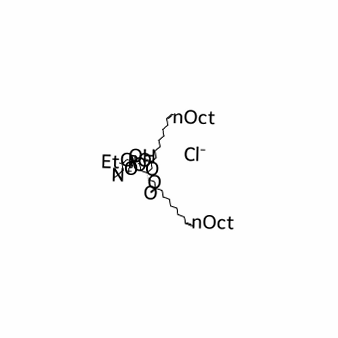 CCCCCCCC/C=C\CCCCCCCC(=O)OC[C@H](COP(=O)(O)OC(CC)C[N+](C)(C)C)OC(=O)CCCCCCC/C=C\CCCCCCCC.[Cl-]